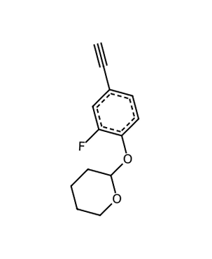 C#Cc1ccc(OC2CCCCO2)c(F)c1